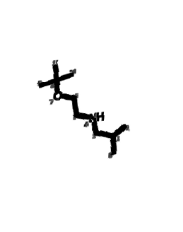 CC(C)CNCCOC(C)(C)C